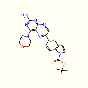 CC(C)(C)OC(=O)n1ccc2cc(-c3cnc4nc(N)nc(N5CCOCC5)c4n3)ccc21